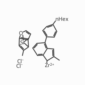 CC1=C2c3occc3C1[Si]2(C)C.CCCCCCc1ccc(-c2cccc3c2C=C(C)[CH]3[Zr+2])cc1.[Cl-].[Cl-]